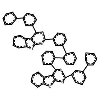 c1ccc(-c2cccc(-c3nc(-c4ccccc4-c4ccccc4-c4cccc(-c5nc(-c6cccc(-c7ccccc7)c6)c6c(n5)oc5ccccc56)c4)c4c(n3)oc3ccccc34)c2)cc1